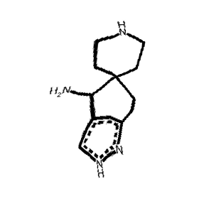 NC1c2c[nH]nc2CC12CCNCC2